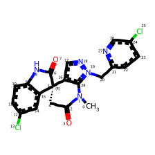 CN1C(=O)C[C@]2(C(=O)Nc3ccc(Cl)cc32)c2cnn(Cc3ccc(Cl)cn3)c21